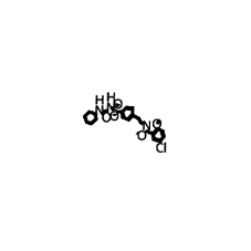 CO/C(=N\CCc1ccc(S(=O)(=O)NC(=O)NC2CCCCC2)cc1)c1cc(Cl)ccc1OC